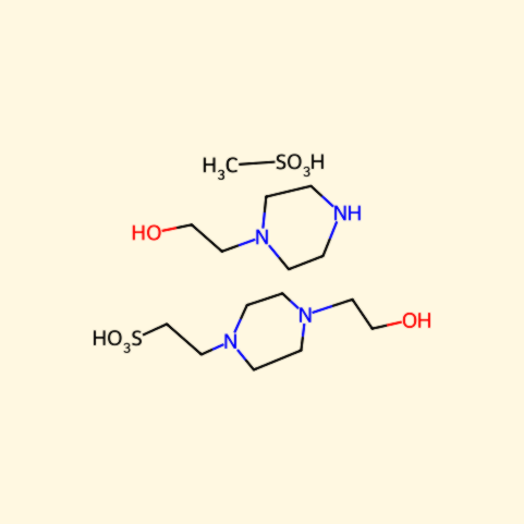 CS(=O)(=O)O.O=S(=O)(O)CCN1CCN(CCO)CC1.OCCN1CCNCC1